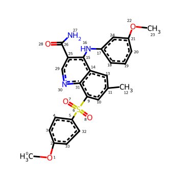 COc1ccc(S(=O)(=O)c2cc(C)cc3c(Nc4cccc(OC)c4)c(C(N)=O)cnc23)cc1